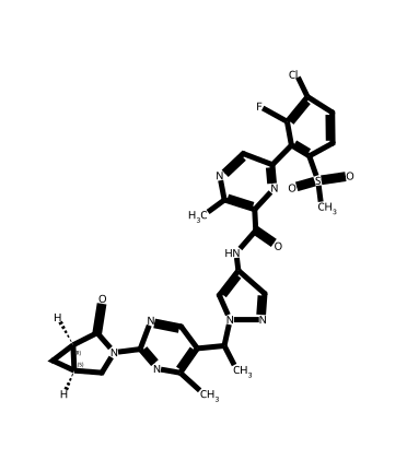 Cc1nc(N2C[C@H]3C[C@H]3C2=O)ncc1C(C)n1cc(NC(=O)c2nc(-c3c(S(C)(=O)=O)ccc(Cl)c3F)cnc2C)cn1